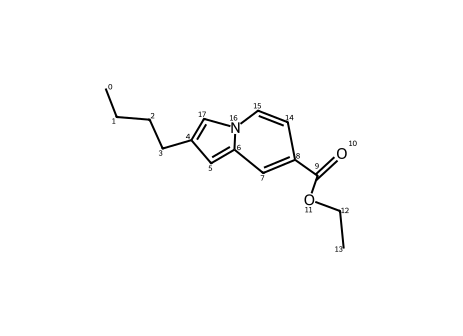 CCCCc1cc2cc(C(=O)OCC)ccn2c1